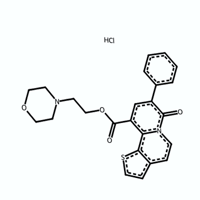 Cl.O=C(OCCN1CCOCC1)c1cc(-c2ccccc2)c(=O)n2ccc3ccsc3c12